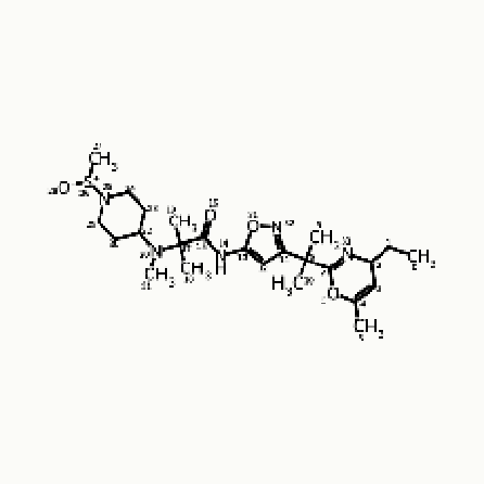 CCC1C=C(C)OC(C(C)(C)c2cc(NC(=O)C(C)(C)N(C)C3CCN([S+](C)[O-])CC3)on2)=N1